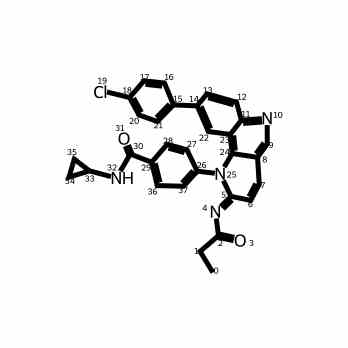 CCC(=O)N=c1ccc2cnc3ccc(-c4ccc(Cl)cc4)cc3c2n1-c1ccc(C(=O)NC2CC2)cc1